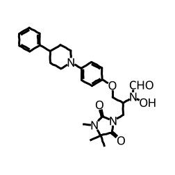 CN1C(=O)N(CC(COc2ccc(N3CCC(c4ccccc4)CC3)cc2)N(O)C=O)C(=O)C1(C)C